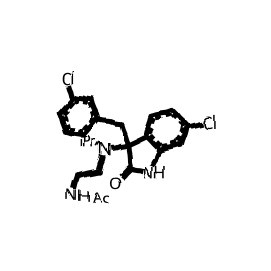 CC(=O)NCCN(C(C)C)C1(Cc2cccc(Cl)c2)C(=O)Nc2cc(Cl)ccc21